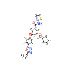 Cc1nnc(-c2ccc(Oc3cc(OCC4CCCC4)cc(C(=O)Nc4nccs4)c3)cc2)o1